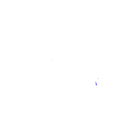 O=S(=O)(c1ccccc1)N1CCCc2cc([C@@H]3C[C@H]3Nc3ccccc3)ccc21